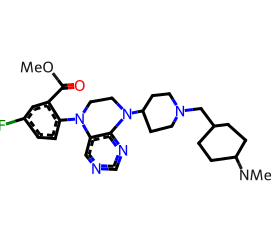 CNC1CCC(CN2CCC(N3CCN(c4ccc(F)cc4C(=O)OC)c4cncnc43)CC2)CC1